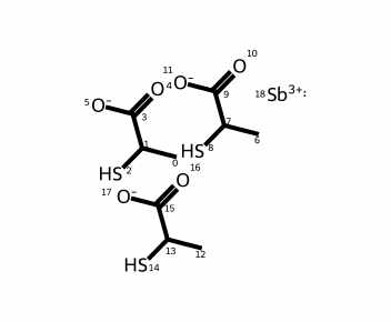 CC(S)C(=O)[O-].CC(S)C(=O)[O-].CC(S)C(=O)[O-].[Sb+3]